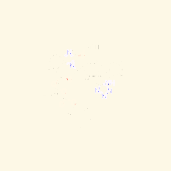 CCOc1nc2cccc(C(=O)OC(C)OC(=O)OC3CCCCC3)c2n1Cc1ccc(-c2ccccc2)c(-c2nnn[nH]2)c1